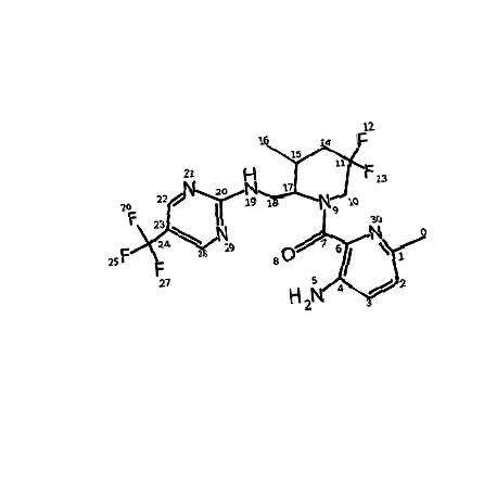 Cc1ccc(N)c(C(=O)N2CC(F)(F)CC(C)C2CNc2ncc(C(F)(F)F)cn2)n1